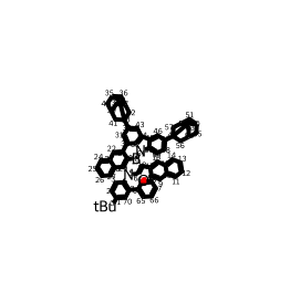 CC(C)(C)c1ccc(N2c3oc4cc5ccccc5cc4c3B3c4c(cc5ccccc5c42)-c2cc(C45CC6CC(CC(C6)C4)C5)cc4c5cc(C67CC8CC(CC(C8)C6)C7)ccc5n3c24)c(-c2ccccc2)c1